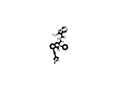 C[C@H](NC(=O)c1c(N)nn2cnncc12)c1cc2cccc(C#Cc3cnn(C)c3)c2c(=O)n1-c1ccccc1